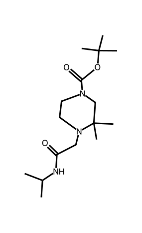 CC(C)NC(=O)CN1CCN(C(=O)OC(C)(C)C)CC1(C)C